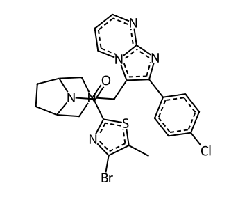 Cc1sc(C(=O)N2C3CCC2CN(Cc2c(-c4ccc(Cl)cc4)nc4ncccn24)C3)nc1Br